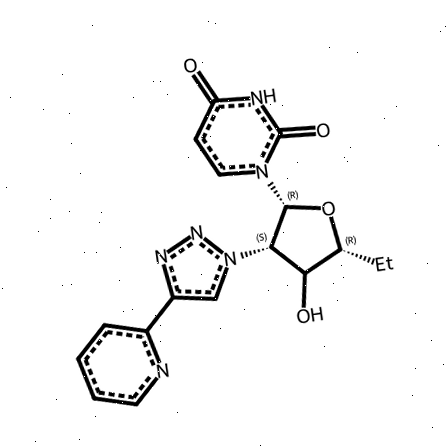 CC[C@H]1O[C@@H](n2ccc(=O)[nH]c2=O)[C@@H](n2cc(-c3ccccn3)nn2)C1O